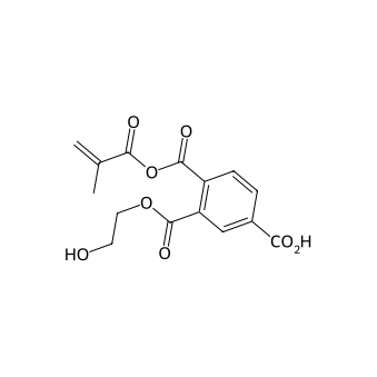 C=C(C)C(=O)OC(=O)c1ccc(C(=O)O)cc1C(=O)OCCO